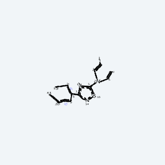 C=CN(C=C)c1nc(C(/C=C\C)=C/C)ns1